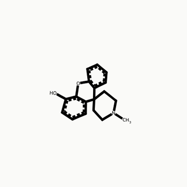 CN1CCC2(CC1)c1ccccc1Oc1c(O)cccc12